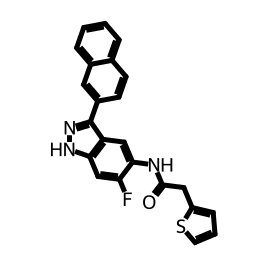 O=C(Cc1cccs1)Nc1cc2c(-c3ccc4ccccc4c3)n[nH]c2cc1F